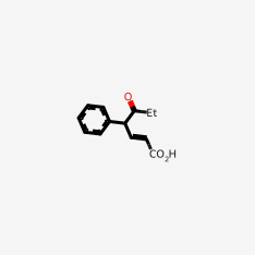 CCC(=O)C(C=CC(=O)O)c1ccccc1